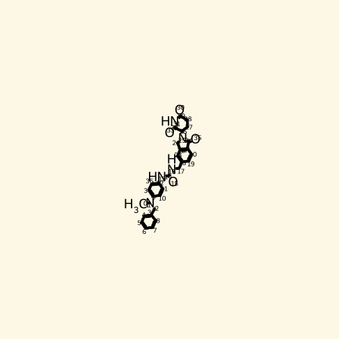 CN(Cc1ccccc1)c1ccc(NC(=O)NCc2ccc3c(c2)CN(C2CCC(=O)NC2=O)C3=O)cc1